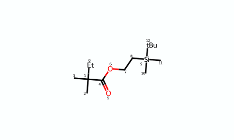 CCC(C)(C)C(=O)OCC[Si](C)(C)C(C)(C)C